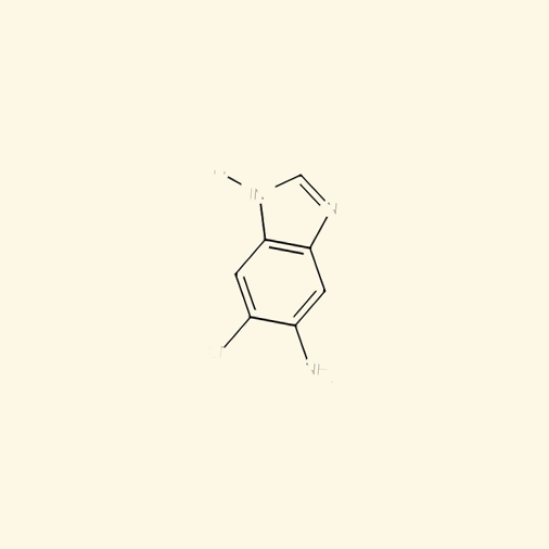 Nc1cc2c(cc1Cl)[NH+]([O-])C=N2